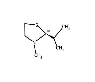 CC(C)[C@@H]1SCCN1C